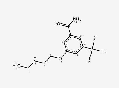 CCNCCOc1cc(C(N)=O)cc(C(F)(F)F)c1